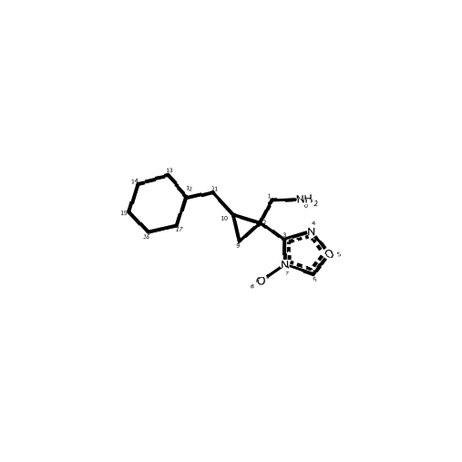 NCC1(c2noc[n+]2[O-])CC1CC1CCCCC1